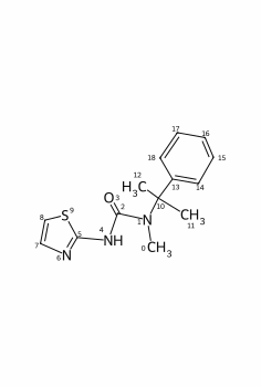 CN(C(=O)Nc1nccs1)C(C)(C)c1ccccc1